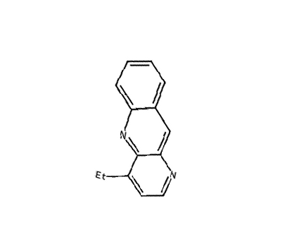 CCc1ccnc2cc3ccccc3nc12